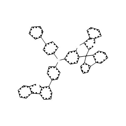 c1ccc(-c2ccc(N(c3ccc(-c4cccc5c4oc4ccccc45)cc3)c3ccc4c(c3)Oc3c(oc5ccccc35)C43c4ccccc4-c4ccccc43)cc2)cc1